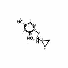 N#Cc1ccc(CNC2CC2)c([N+](=O)[O-])c1